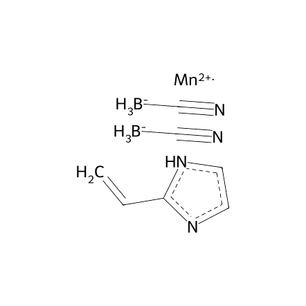 C=Cc1ncc[nH]1.[BH3-]C#N.[BH3-]C#N.[Mn+2]